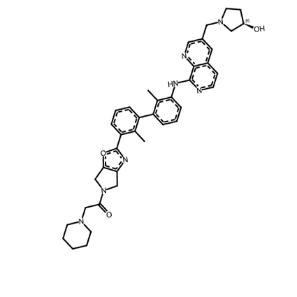 Cc1c(Nc2nccc3cc(CN4CC[C@@H](O)C4)cnc23)cccc1-c1cccc(-c2nc3c(o2)CN(C(=O)CN2CCCCC2)C3)c1C